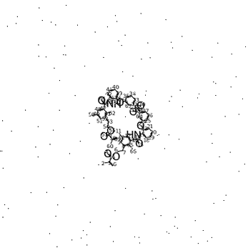 C=C(C)C(=O)OCCc1cc(C)cc(C(=O)Nc2ccccc2Oc2cccc(S(=O)(=O)c3cccc(Oc4ccccc4NC(=O)c4cc(C)cc(CCOC(=O)C(=C)C)c4C)c3)c2)c1C